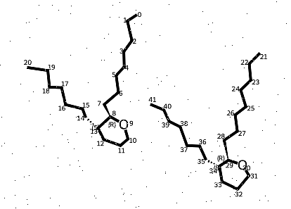 CCCCCCCC[C@H]1OCCC[C@@H]1CCCCCCC.CCCCCCCC[C@H]1OCCC[C@@H]1CCCCCCC